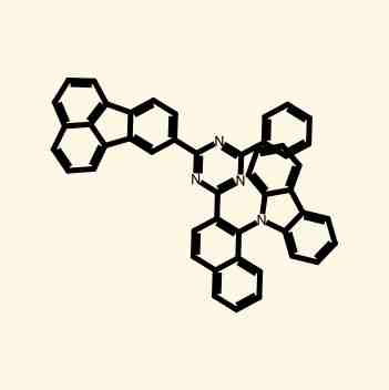 c1ccc(-c2nc(-c3ccc4c(c3)-c3cccc5cccc-4c35)nc(-c3ccc4ccccc4c3-n3c4ccccc4c4ccccc43)n2)cc1